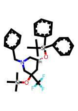 CC(C)(C)[Si](O[C@H]1CN(Cc2ccccc2)CC(O[Si](C)(C)C)(C(F)(F)F)C1)(c1ccccc1)c1ccccc1